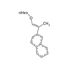 CCCCCCO/C=C(\C)c1ccc2ccccc2c1